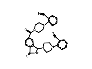 N#Cc1ccccc1N1CCN(C(=O)c2ccc3c(c2)C(N2CCN(c4ccccc4C#N)CC2)NC3=O)CC1